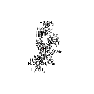 CSCC[C@H](NC(=O)[C@H](CCC(=O)OC(C)(C)C)NC(=O)[C@H](CCC(=O)OC(C)(C)C)NC(C)=O)C(=O)N[C@@H](CCC(=O)NC(c1ccccc1)(c1ccccc1)c1ccccc1)C(=O)N[C@@H](CCCNC(=N)NS(=O)(=O)c1c(C)c(C)c2c(c1C)CC(C)(C)O2)C(=O)N[C@@H](CCCNC(=N)NS(=O)(=O)c1c(C)c(C)c2c(c1C)CC(C)(C)O2)C(N)=O